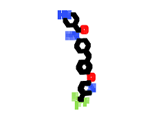 O=C(NC1CCC(=Cc2cccc(Oc3ccc(C(F)(F)F)cn3)c2)CC1)C1CCNCC1